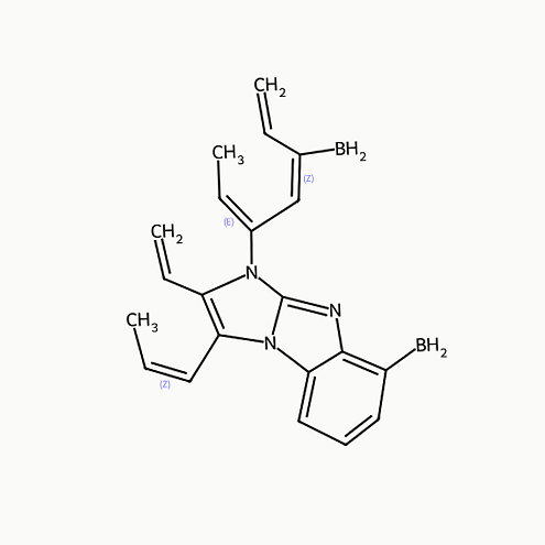 B/C(C=C)=C/C(=C\C)n1c(C=C)c(/C=C\C)n2c3cccc(B)c3nc12